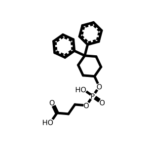 O=C(O)CCOP(=O)(O)OC1CCC(c2ccccc2)(c2ccccc2)CC1